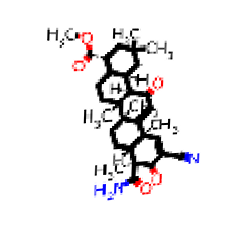 COC(=O)[C@@H]1CC(C)(C)C[C@@H]2C1CC[C@]1(C)[C@@H]2C(=O)C=C2[C@@]3(C)C=C(C#N)C(=O)[C@@](C)(C(N)=O)[C@@H]3CC[C@]21C